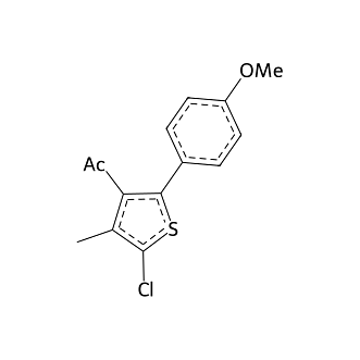 COc1ccc(-c2sc(Cl)c(C)c2C(C)=O)cc1